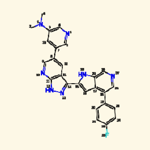 CN(C)c1cncc(-c2cnc3[nH]nc(-c4cc5c(-c6ccc(F)cc6)cncc5[nH]4)c3c2)c1